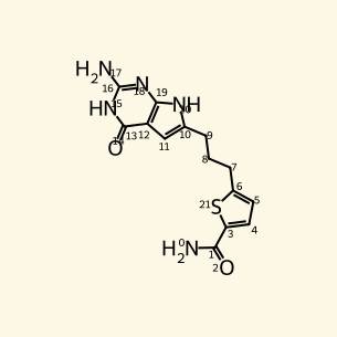 NC(=O)c1ccc(CCCc2cc3c(=O)[nH]c(N)nc3[nH]2)s1